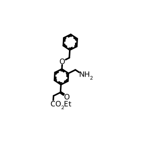 CCOC(=O)CC(=O)c1ccc(OCc2ccccc2)c(CN)c1